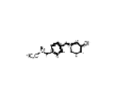 CN(Cc1ccc(CN2CCCC(O)C2)cc1)C(=O)O